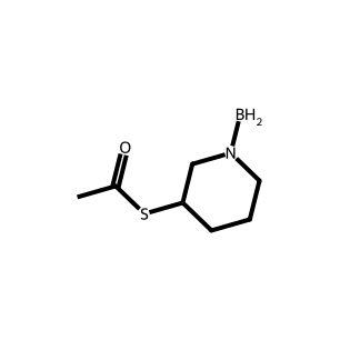 BN1CCCC(SC(C)=O)C1